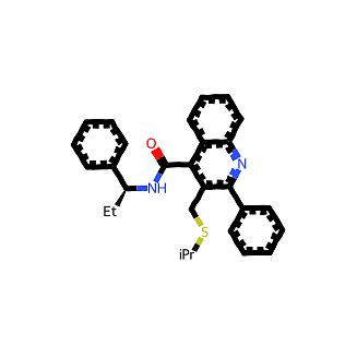 CC[C@H](NC(=O)c1c(CSC(C)C)c(-c2ccccc2)nc2ccccc12)c1ccccc1